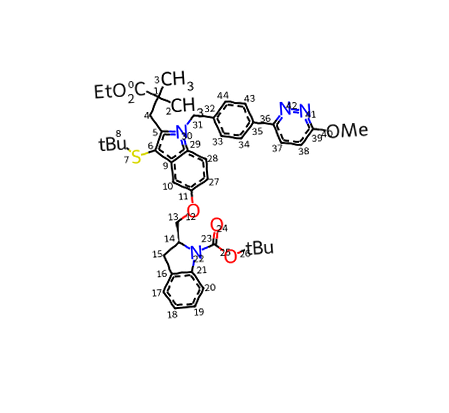 CCOC(=O)C(C)(C)Cc1c(SC(C)(C)C)c2cc(OC[C@@H]3Cc4ccccc4N3C(=O)OC(C)(C)C)ccc2n1Cc1ccc(-c2ccc(OC)nn2)cc1